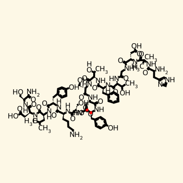 CC(C)C[C@H](NC(=O)[C@H](Cc1ccc(O)cc1)NC(=O)[C@H](CCCCN)NC(=O)[C@H](CO)NC(=O)[C@H](Cc1ccc(O)cc1)NC(=O)[C@H](CC(=O)O)NC(=O)[C@H](CO)NC(=O)[C@@H](NC(=O)[C@H](Cc1ccccc1)NC(=O)[C@@H](NC(=O)CNC(=O)[C@H](CC(=O)O)NC(=O)C(C)(C)NC(=O)[C@@H](N)Cc1c[nH]cn1)C(C)O)C(C)O)C(=O)N[C@@H](CC(=O)O)C(=O)N[C@@H](CO)C(N)=O